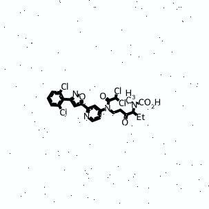 CCC(C(=O)CCN(C(=O)C(Cl)Cl)c1ccnc(-c2cc(-c3c(Cl)cccc3Cl)no2)c1)N(C)C(=O)O